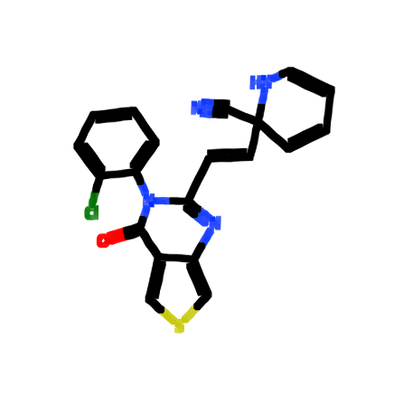 N#CC1(C=Cc2nc3cscc3c(=O)n2-c2ccccc2Cl)C=CC=CN1